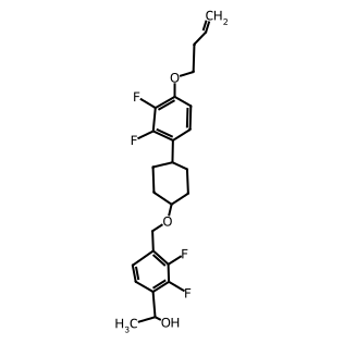 C=CCCOc1ccc(C2CCC(OCc3ccc(C(C)O)c(F)c3F)CC2)c(F)c1F